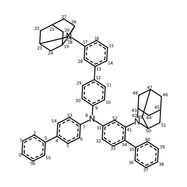 c1ccc(-c2ccc(N(c3ccc(-c4cccc(N5C6CC7CC(C6)CC5C7)c4)cc3)c3ccc(-c4ccccc4)c(N4C5CC6CC(C5)CC4C6)c3)cc2)cc1